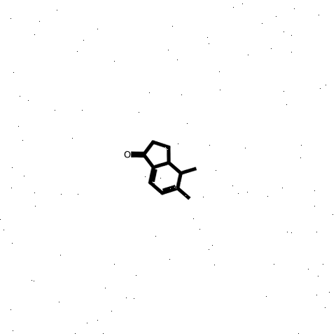 CC1=CC=C2C(=O)CCC2C1C